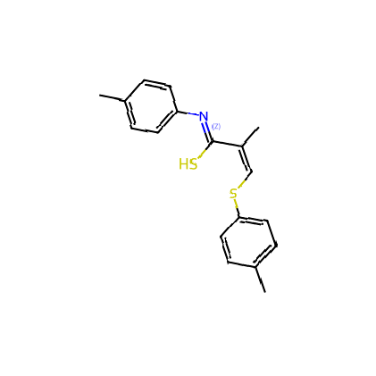 CC(=CSc1ccc(C)cc1)/C(S)=N/c1ccc(C)cc1